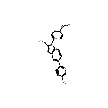 CC(C)Oc1ccc(-n2c(C(=O)O)cc3cc(-c4ccc(C(F)(F)F)cn4)ccc32)cc1